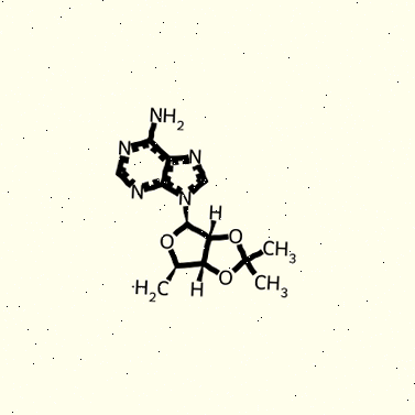 [CH2][C@H]1O[C@@H](n2cnc3c(N)ncnc32)[C@@H]2OC(C)(C)O[C@@H]21